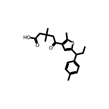 CCC(c1ccc(C)cc1)c1cc(C(=O)CC(C)(C)CC(=O)O)c(C)s1